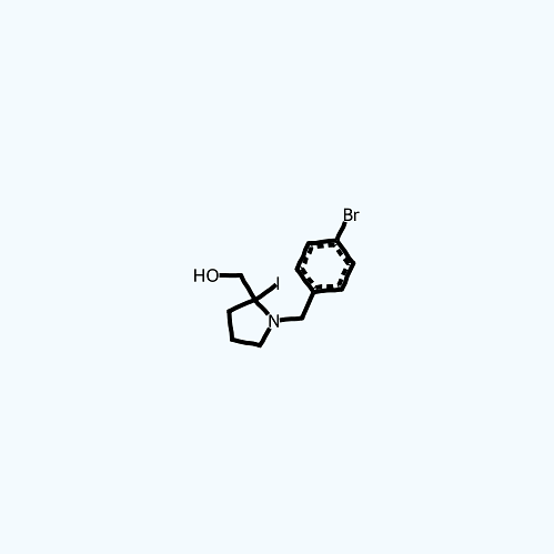 OCC1(I)CCCN1Cc1ccc(Br)cc1